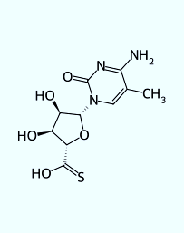 Cc1cn([C@@H]2O[C@H](C(O)=S)[C@@H](O)[C@H]2O)c(=O)nc1N